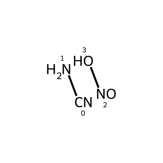 N#CN.O=NO